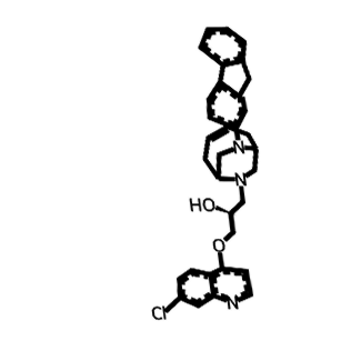 O[C@H](COc1ccnc2cc(Cl)ccc12)CN1CC2C/C=C\CC1CN2c1ccc2c(c1)Cc1ccccc1-2